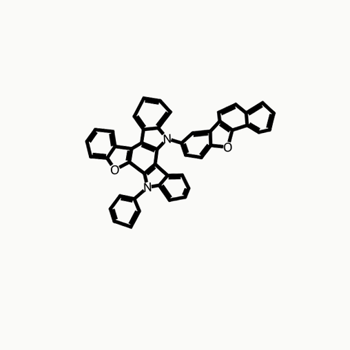 c1ccc(-n2c3ccccc3c3c2c2oc4ccccc4c2c2c4ccccc4n(-c4ccc5oc6c7ccccc7ccc6c5c4)c23)cc1